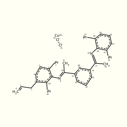 C=CCc1ccc(C(C)C)c(N=C(C)c2cccc(C(C)=Nc3c(C(C)C)cccc3C(C)C)n2)c1C(C)C.[Cl-].[Cl-].[Co+2]